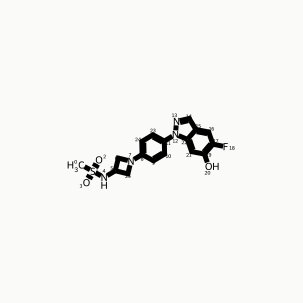 CS(=O)(=O)NC1CN(c2ccc(-n3ncc4cc(F)c(O)cc43)cc2)C1